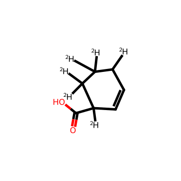 [2H]C1C=CC([2H])(C(=O)O)C([2H])([2H])C1([2H])[2H]